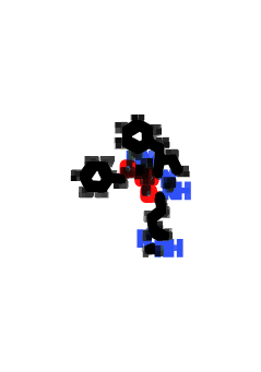 O=C(CCc1c[nH]cn1)NN1CCC(Cc2ccccc2)(NC(=O)OCc2ccccc2)C1=O